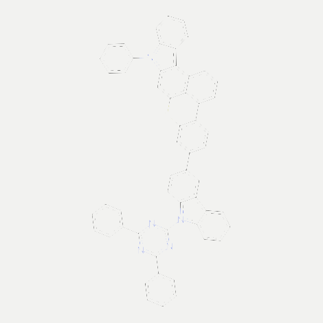 c1ccc(-c2nc(-c3ccccc3)nc(-n3c4ccccc4c4cc(-c5ccc6c(c5)Sc5cc7c(c8cccc-6c58)c5ccccc5n7-c5ccccc5)ccc43)n2)cc1